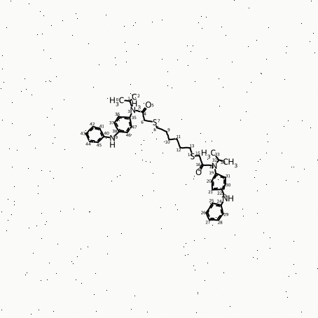 CC(C)N(C(=O)CSCCCCCCSCC(=O)N(c1ccc(Nc2ccccc2)cc1)C(C)C)c1ccc(Nc2ccccc2)cc1